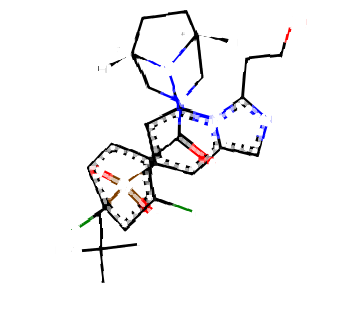 CC(C)(C)CS(=O)(=O)c1cc(N2[C@@H]3CC[C@H]2CN(C(=O)c2ccc(F)cc2Cl)C3)n2c(CCO)ncc2c1